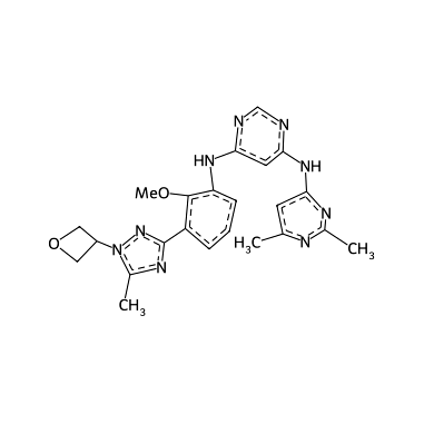 COc1c(Nc2cc(Nc3cc(C)nc(C)n3)ncn2)cccc1-c1nc(C)n(C2COC2)n1